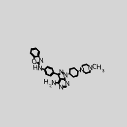 CN1CCN([C@H]2CC[C@@H](n3nc(-c4ccc(Nc5nc6ccccc6o5)cc4)c4c(N)ncnc43)CC2)CC1